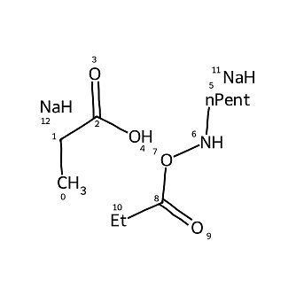 CCC(=O)O.CCCCCNOC(=O)CC.[NaH].[NaH]